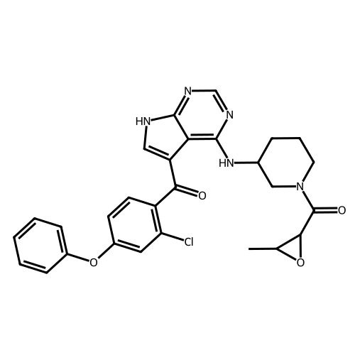 CC1OC1C(=O)N1CCCC(Nc2ncnc3[nH]cc(C(=O)c4ccc(Oc5ccccc5)cc4Cl)c23)C1